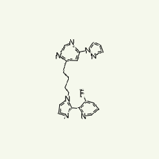 Fc1cccnc1-c1nccn1CCCCc1cc(-n2cccn2)ncn1